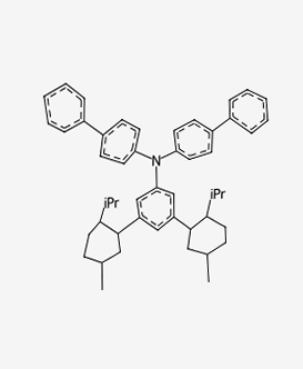 CC1CCC(C(C)C)C(c2cc(C3CC(C)CCC3C(C)C)cc(N(c3ccc(-c4ccccc4)cc3)c3ccc(-c4ccccc4)cc3)c2)C1